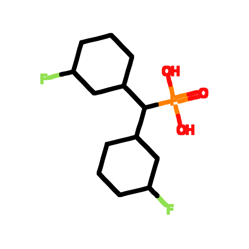 O=P(O)(O)C(C1CCCC(F)C1)C1CCCC(F)C1